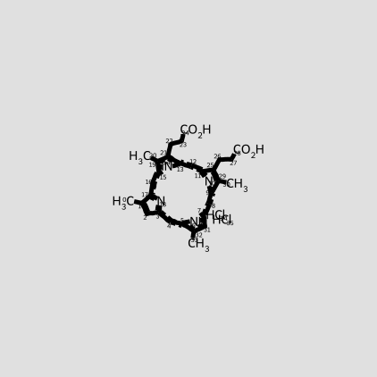 CC1=Cc2cc3[nH]c(cc4nc(cc5[nH]c(cc1n2)c(C)c5CCC(=O)O)C(CCC(=O)O)=C4C)cc3C.Cl.Cl